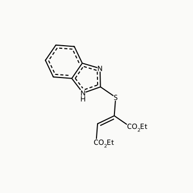 CCOC(=O)C=C(Sc1nc2ccccc2[nH]1)C(=O)OCC